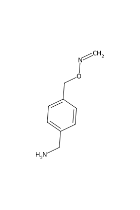 C=NOCc1ccc(CN)cc1